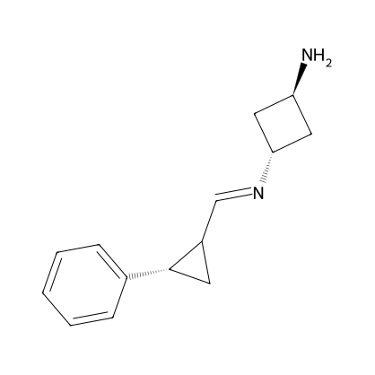 N[C@H]1C[C@H](N=CC2C[C@@H]2c2ccccc2)C1